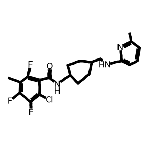 Cc1cccc(NCC2CCC(NC(=O)c3c(F)c(C)c(F)c(F)c3Cl)CC2)n1